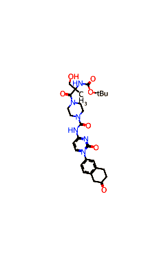 CC(C)(C)OC(=O)NC(C)(CO)C(=O)N1CCN(C(=O)Nc2ccn(-c3ccc4c(c3)CCC(=O)C4)c(=O)n2)CC1